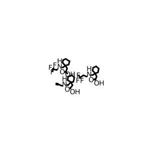 C#CCNCC1(CC(=O)O)CCCCC1.O=C(O)CC1(CNCC(F)(F)F)CCCCC1.O=C(O)CC1(CNCCC(F)(F)F)CCCCC1